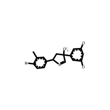 Cc1cc(C2CC(c3cc(Cl)cc(Cl)c3)(C(F)(F)F)C=N2)ccc1Br